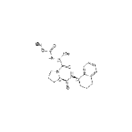 CC(C)(C)OC(=O)N[C@@H](C(=O)N1CCC[C@@H]1C(=O)N[C@@H]1CCCc2ccccc21)C(C)(C)C